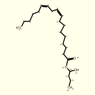 CCCCC/C=C\C/C=C\CCCCCCCC(=O)OC(O)CCC